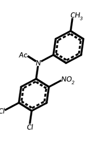 CC(=O)N(c1cccc(C)c1)c1cc(Cl)c(Cl)cc1[N+](=O)[O-]